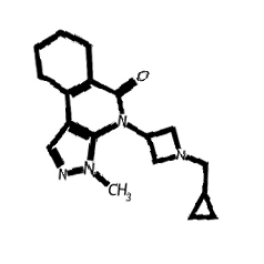 Cn1ncc2c3c(c(=O)n(C4CN(CC5CC5)C4)c21)CCCC3